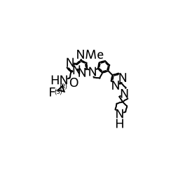 CNc1cc(N2CCc3c(-c4cnc(CN5CC6(CCNCC6)C5)nc4)cccc32)nn2c(C(=O)N[C@@H]3C[C@@H]3F)cnc12